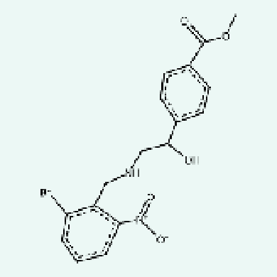 COC(=O)c1ccc(C(O)CNCc2c(Br)cccc2[N+](=O)[O-])cc1